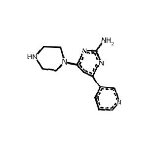 Nc1nc(-c2cccnc2)cc(N2CCNCC2)n1